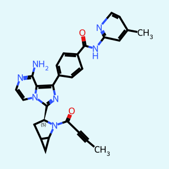 CC#CC(=O)N1C2CC2C[C@H]1c1nc(-c2ccc(C(=O)Nc3cc(C)ccn3)cc2)c2c(N)nccn12